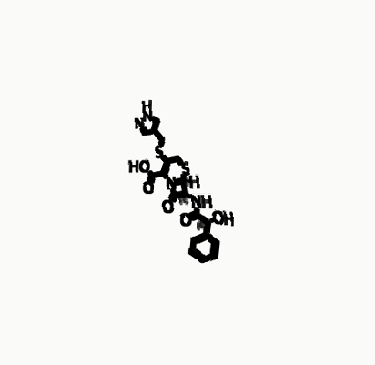 O=C(O)C1=C(SCc2cn[nH]c2)CS[C@H]2[C@H](NC(=O)[C@H](O)c3ccccc3)C(=O)N12